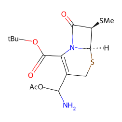 CS[C@@H]1C(=O)N2C(C(=O)OC(C)(C)C)=C(C(N)OC(C)=O)CS[C@H]12